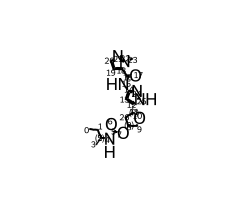 CC[C@H](C)NC(=O)O[C@H]1CO[C@@H](c2cc(NC(=O)c3ccnn3C)n[nH]2)C1